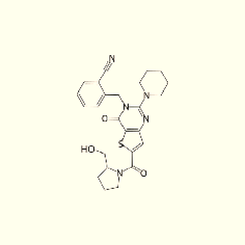 N#Cc1ccccc1Cn1c(N2CCCCC2)nc2cc(C(=O)N3CCCC3CO)sc2c1=O